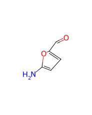 Nc1ccc(C=O)o1